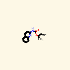 CC(C)CC(C)OC(=O)Nc1ccc2ccccc2n1